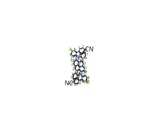 N#Cc1ccc(-c2cc(F)cc(F)c2N(c2ccccc2)c2ccc3ccc4c(N(c5ccccc5)c5c(F)cc(F)cc5-c5ccc(C#N)cc5)ccc5ccc2c3c54)cc1